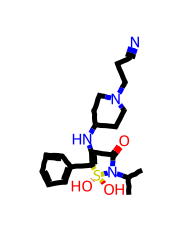 CC(C)N1C(=O)C(NC2CCN(CCC#N)CC2)=C(c2ccccc2)S1(O)O